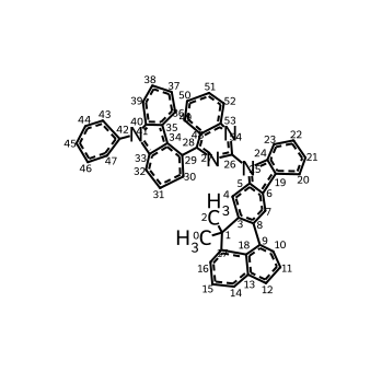 CC1(C)c2cc3c(cc2-c2cccc4cccc1c24)c1ccccc1n3-c1nc(-c2cccc3c2c2ccccc2n3-c2ccccc2)c2ccccc2n1